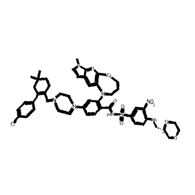 Cn1ccc2cc3c(nc21)OCCCN3c1cc(N2CCN(CC3=C(c4ccc(Cl)cc4)CC(C)(C)CC3)CC2)ccc1C(=O)NS(=O)(=O)c1ccc(NC[C@H]2COCCO2)c([N+](=O)[O-])c1